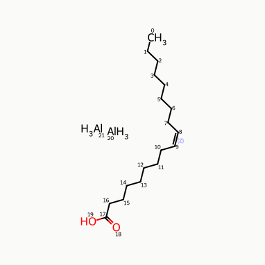 CCCCCCCC/C=C\CCCCCCCC(=O)O.[AlH3].[AlH3]